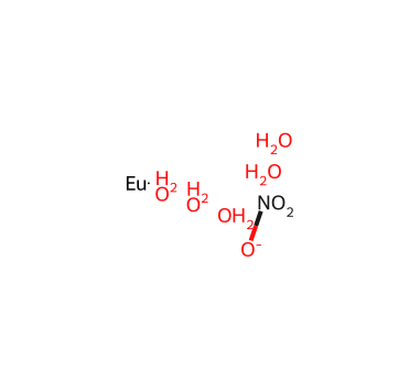 O.O.O.O.O.O=[N+]([O-])[O-].[Eu]